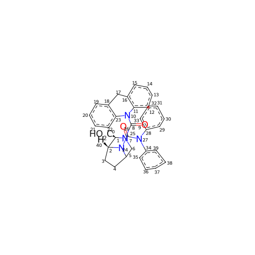 O=C(O)[C@@H]1[C@H]2CCC(CN1C(=O)N1c3ccccc3Cc3ccccc31)N2C(=O)N(c1ccccc1)c1ccccc1